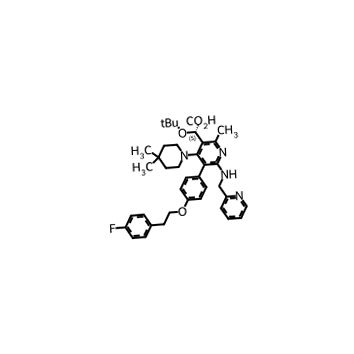 Cc1nc(NCc2ccccn2)c(-c2ccc(OCCc3ccc(F)cc3)cc2)c(N2CCC(C)(C)CC2)c1[C@H](OC(C)(C)C)C(=O)O